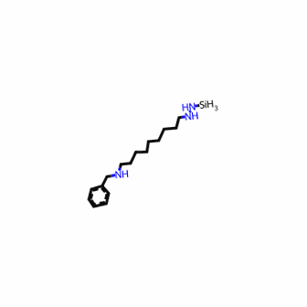 [SiH3]NNCCCCCCCCCNCc1ccccc1